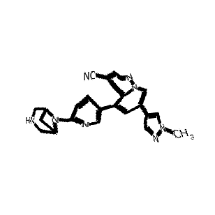 Cn1cc(-c2cc(-c3ccc(N4C5CNCC4C5)nc3)c3c(C#N)cnn3c2)cn1